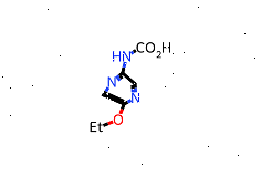 CCOc1cnc(NC(=O)O)cn1